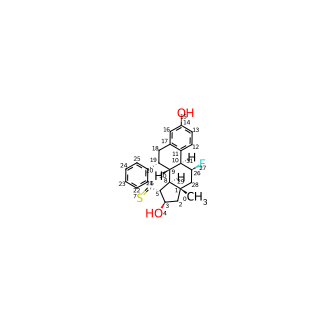 C[C@@]12C[C@@H](O)[C@H](C=S)[C@H]1[C@H]1[C@@H](c3ccc(O)cc3C[C@H]1c1ccccc1)[C@@H](F)C2